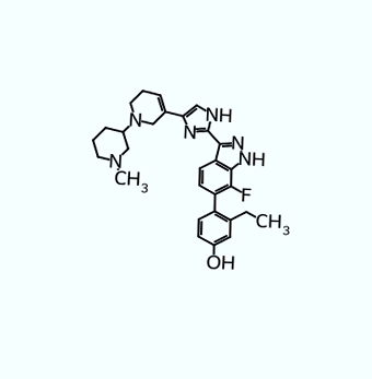 CCc1cc(O)ccc1-c1ccc2c(-c3nc(C4=CCCN(C5CCCN(C)C5)C4)c[nH]3)n[nH]c2c1F